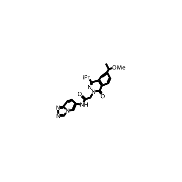 COC(C)c1ccc2c(=O)n(CC(=O)Nc3ccc4nncn4c3)nc(C(C)C)c2c1